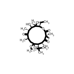 CC[C@H]1OC(=O)[C@@](C)(F)C(=O)[C@H](C)[C@@H](C(C)(C)C)[C@](C)(OC)C[C@@H](C)C(=O)[C@H](C)[C@@H](O)[C@]1(C)O